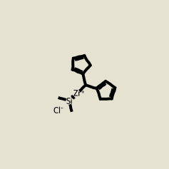 C[Si](C)=[Zr+][CH](C1=CC=CC1)C1=CC=CC1.[Cl-]